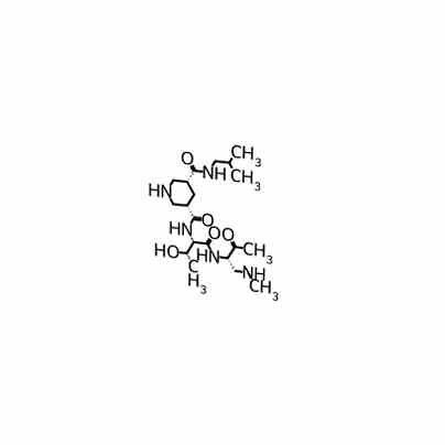 CNC[C@H](NC(=O)[C@@H](NC(=O)[C@@H]1CNC[C@H](C(=O)NCC(C)C)C1)[C@H](C)O)C(C)=O